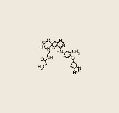 C=CC(=O)NCCN1C[C@@H]2CC2Oc2cc3ncnc(Nc4ccc(Oc5ccn6ncnc6c5)c(C)c4)c3nc21